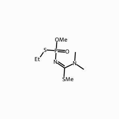 CCSP(=O)(N=C(SC)N(C)C)OC